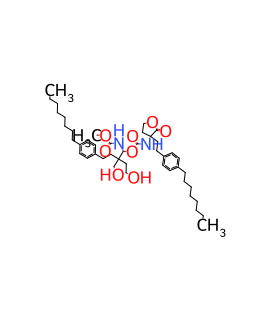 CCCCCCCCc1ccc(CCC2(NC(=O)OC(NC(=O)OC)C(CO)(CCO)CCc3ccc(CCCCCCCC)cc3)CCOC2=O)cc1